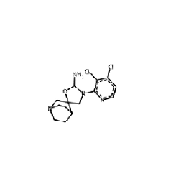 NC1OC2(CN3CCC2CC3)CN1c1nccc(Cl)c1Cl